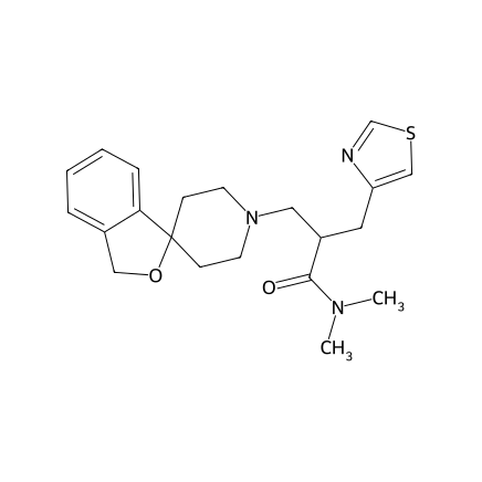 CN(C)C(=O)C(Cc1cscn1)CN1CCC2(CC1)OCc1ccccc12